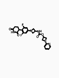 O=C1CCC(c2c(F)cc(N3CC(NC(=O)OC4CN(c5ccccn5)C4)C3)cc2F)C(=O)N1